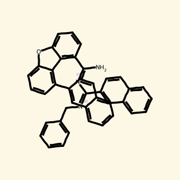 N/C(=N\C(=N/Cc1ccccc1)c1ccc2ccccc2c1)c1cccc2oc3cccc(-c4ccc5ccccc5c4)c3c12